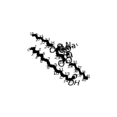 CCCCCCCCCCCCCCCC(=O)O.CCCCCCCCOC(=O)CC(C(=O)OCCCCCCCC)S(=O)(=O)[O-].[Na+]